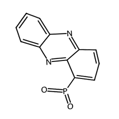 O=P(=O)c1cccc2nc3ccccc3nc12